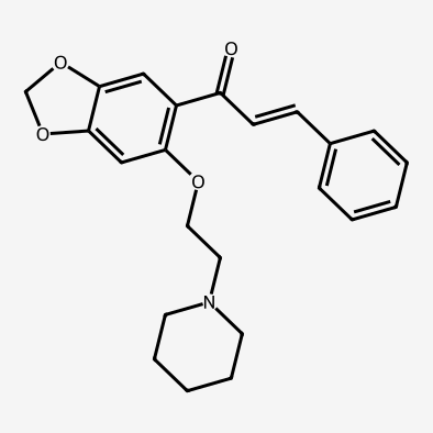 O=C(C=Cc1ccccc1)c1cc2c(cc1OCCN1CCCCC1)OCO2